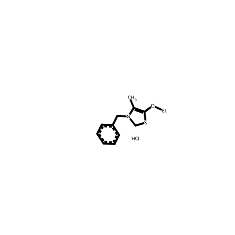 CCOC1=C(C)N(Cc2ccccc2)CS1.Cl